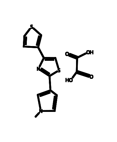 Cn1ccc(-c2nc(-c3ccsc3)cs2)c1.O=C(O)C(=O)O